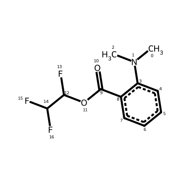 CN(C)c1ccccc1C(=O)OC(F)C(F)F